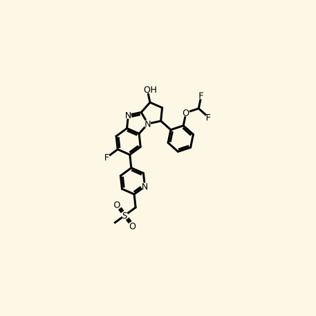 CS(=O)(=O)Cc1ccc(-c2cc3c(cc2F)nc2n3C(c3ccccc3OC(F)F)CC2O)cn1